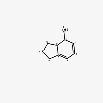 OC1C=CC=C2CSCC21